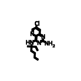 CCCCC(C)(CC)Nc1nc(N)nc2cc(Cl)cnc12